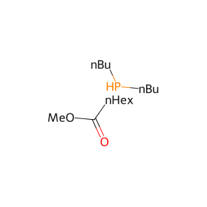 CCCCCCC(=O)OC.CCCCPCCCC